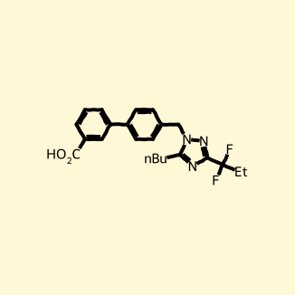 CCCCc1nc(C(F)(F)CC)nn1Cc1ccc(-c2cccc(C(=O)O)c2)cc1